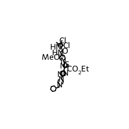 CCOC(=O)c1sc(N2CC[C@@H](NC(=O)c3[nH]c(C)c(Cl)c3Cl)[C@@H](OC)C2)nc1-c1cnc(N2CCN(CC3CCCCC3)CC2)cn1